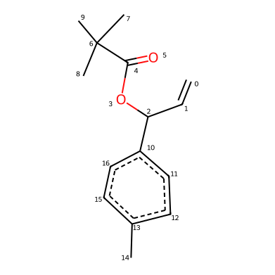 C=CC(OC(=O)C(C)(C)C)c1ccc(C)cc1